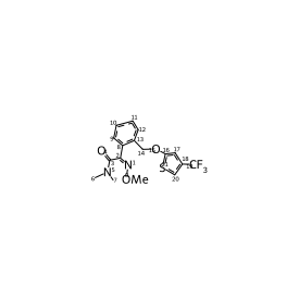 CON=C(C(=O)N(C)C)c1ccccc1COc1cc(C(F)(F)F)cs1